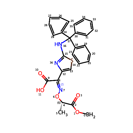 BOC(=O)[C@H](C)O/N=C(\C(=O)O)c1csc(NC(c2ccccc2)(c2ccccc2)c2ccccc2)n1